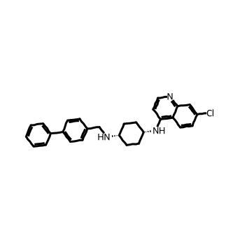 Clc1ccc2c(N[C@H]3CC[C@@H](NCc4ccc(-c5ccccc5)cc4)CC3)ccnc2c1